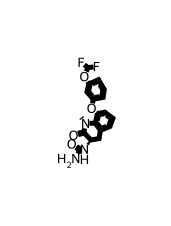 CN1C(=O)[C@H](NC(N)=O)Cc2cccc(Oc3cccc(OC(F)F)c3)c21